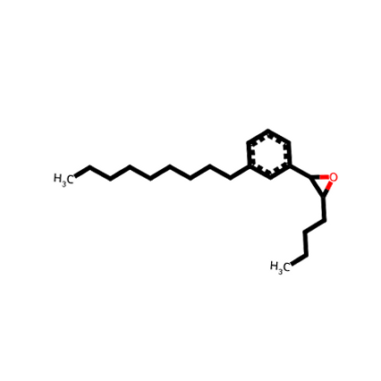 CCCCCCCCCc1cccc(C2OC2CCCC)c1